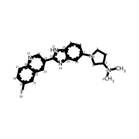 CN(C)C1CCN(c2ccc3[nH]c(-c4cnc5ccc(F)cc5c4)nc3c2)C1